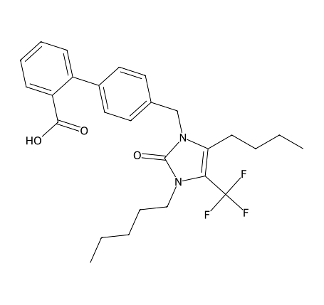 CCCCCn1c(C(F)(F)F)c(CCCC)n(Cc2ccc(-c3ccccc3C(=O)O)cc2)c1=O